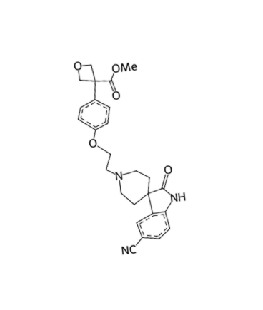 COC(=O)C1(c2ccc(OCCN3CCC4(CC3)C(=O)Nc3ccc(C#N)cc34)cc2)COC1